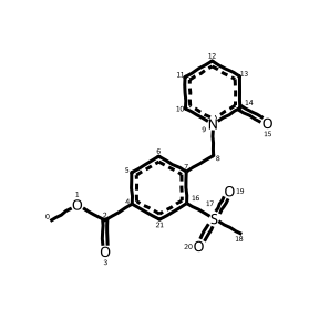 COC(=O)c1ccc(Cn2ccccc2=O)c(S(C)(=O)=O)c1